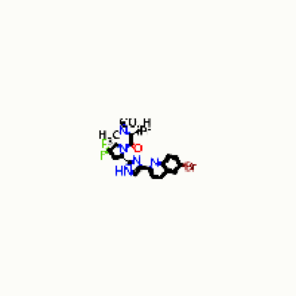 CC(C)[C@@H](C(=O)N1CC(F)(F)C[C@H]1c1nc(-c2ccc3cc(Br)ccc3n2)c[nH]1)N(C)C(=O)O